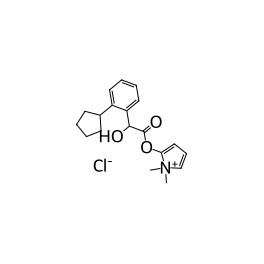 C[N+]1(C)C=CC=C1OC(=O)C(O)c1ccccc1C1CCCC1.[Cl-]